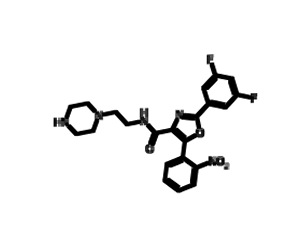 O=C(NCCN1CCNCC1)c1nc(-c2cc(F)cc(F)c2)oc1-c1ccccc1[N+](=O)[O-]